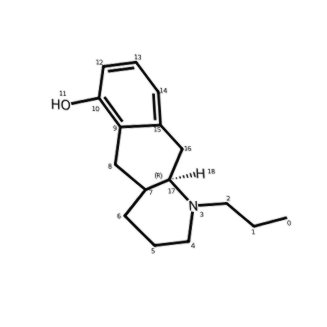 CCCN1CCCC2Cc3c(O)cccc3C[C@H]21